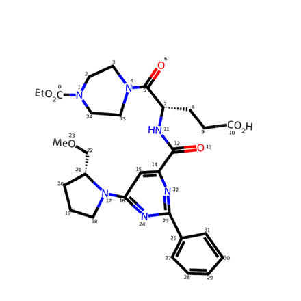 CCOC(=O)N1CCN(C(=O)[C@H](CCC(=O)O)NC(=O)c2cc(N3CCC[C@@H]3COC)nc(-c3ccccc3)n2)CC1